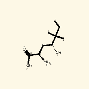 CCC(C)(C)[C@H](O)C[C@@H](N)C(=O)O